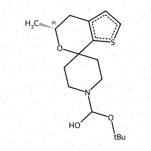 C[C@@H]1Cc2ccsc2C2(CCN(C(O)OC(C)(C)C)CC2)O1